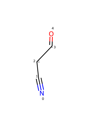 N#C[C][C]=O